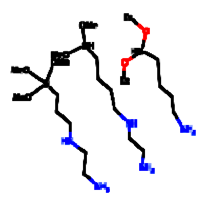 CCO[SiH](CCCCN)OCC.CO[SiH](CCCCNCCN)OC.CO[Si](CCCNCCN)(OC)OC